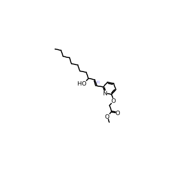 CCCCCCCCC(O)/C=C/c1cccc(OCC(=O)OC)n1